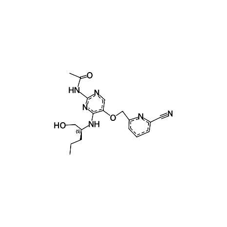 CCC[C@@H](CO)Nc1nc(NC(C)=O)ncc1OCc1cccc(C#N)n1